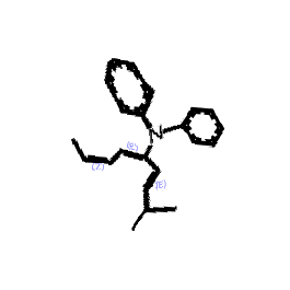 C\C=C/C=C(\C=C\C(C)C)N(c1ccccc1)c1ccccc1